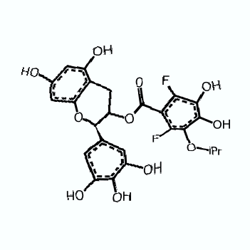 CC(C)Oc1c(O)c(O)c(F)c(C(=O)OC2Cc3c(O)cc(O)cc3O[C@@H]2c2cc(O)c(O)c(O)c2)c1F